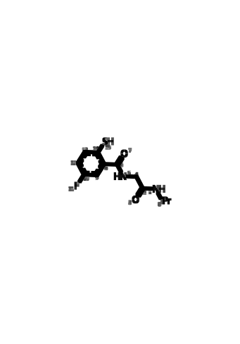 CC(C)NC(=O)CNC(=O)c1cc(F)ccc1S